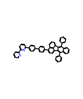 c1ccc(-c2c3c(c(-c4ccccc4)c4ccccc24)-c2ccc(-c4ccc(-c5ccc(-c6cccc(-c7ccccn7)n6)cc5)cc4)c4cccc-3c24)cc1